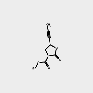 CC#C[C@@H]1CN(C(=O)OC(C)(C)C)C(=O)N1